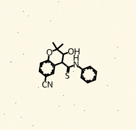 CC1(C)Oc2ccc(C#N)cc2C(C(=S)Nc2ccccc2)C1O